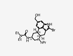 CCCN1C[C@@H](NC(=O)N(CC)CC)C[C@@H]2c3cc(CO)cc4[nH]c(Br)c(c34)C[C@H]21